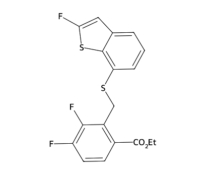 CCOC(=O)c1ccc(F)c(F)c1CSc1cccc2cc(F)sc12